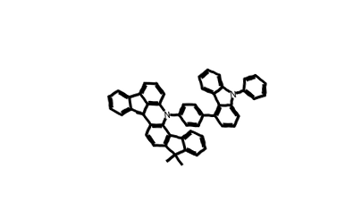 CC1(C)c2ccccc2-c2c1ccc1c2N(c2ccc(-c3cccc4c3c3ccccc3n4-c3ccccc3)cc2)c2cccc3c2C1(C)c1ccccc1-3